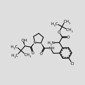 CC(C)(C)OC(=O)C(N)c1ccc(Cl)cc1CNC(=O)[C@@H]1CCCN1C(=O)[C@H](O)C(C)(C)C